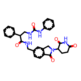 O=C1CCC(N2Cc3cc(CNC(=O)C(CNC(=O)Nc4ccccc4)c4ccccc4)ccc3C2=O)C(=O)N1